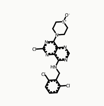 [O-][S+]1CCN(c2nc(Cl)nc3c(NCc4c(Cl)cccc4Cl)ncnc23)CC1